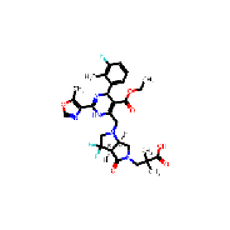 CCOC(=O)C1=C(CN2CC(F)(F)[C@@H]3C(=O)N(CC(C)(C)C(=O)O)C[C@@H]32)NC(c2ncoc2C)=NC1c1cccc(F)c1C